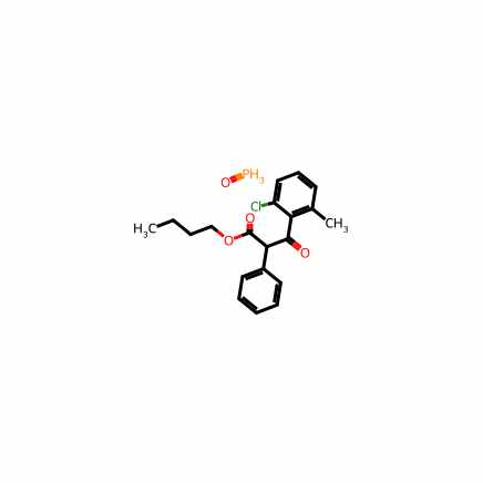 CCCCOC(=O)C(C(=O)c1c(C)cccc1Cl)c1ccccc1.O=[PH3]